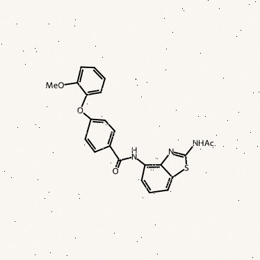 COc1ccccc1Oc1ccc(C(=O)Nc2cccc3sc(NC(C)=O)nc23)cc1